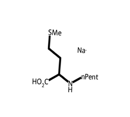 CCCCCNC(CCSC)C(=O)O.[Na]